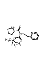 CC(C)(C)OC(=O)N(CCc1ccccn1)C(=O)[C@@H]1CCCN1